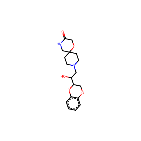 O=C1COC2(CCN(CC(O)C3COc4ccccc4O3)CC2)CN1